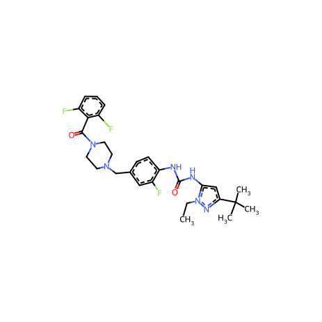 CCn1nc(C(C)(C)C)cc1NC(=O)Nc1ccc(CN2CCN(C(=O)c3c(F)cccc3F)CC2)cc1F